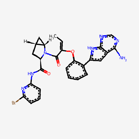 C/C=C(/Oc1ccccc1-c1cc2c(N)ncnc2[nH]1)C(=O)N1[C@@H](C(=O)Nc2cccc(Br)n2)C[C@@H]2C[C@@H]21